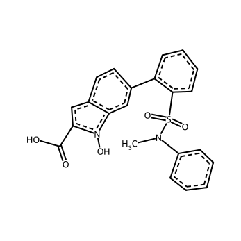 CN(c1ccccc1)S(=O)(=O)c1ccccc1-c1ccc2cc(C(=O)O)n(O)c2c1